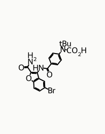 CC(C)(C)N(C(=O)O)c1ccc(C(=O)Nc2c(C(N)=O)oc3ccc(Br)cc23)cc1